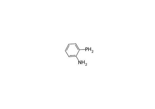 Nc1ccccc1P